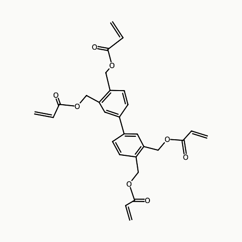 C=CC(=O)OCc1ccc(-c2ccc(COC(=O)C=C)c(COC(=O)C=C)c2)cc1COC(=O)C=C